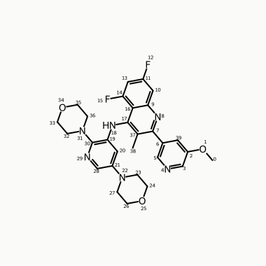 COc1cncc(-c2nc3cc(F)cc(F)c3c(Nc3cc(N4CCOCC4)cnc3N3CCOCC3)c2C)c1